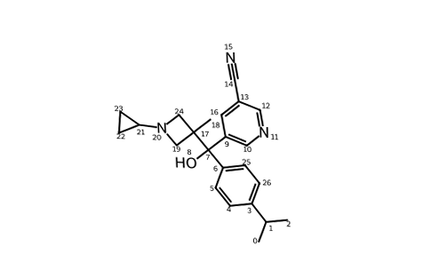 CC(C)c1ccc(C(O)(c2cncc(C#N)c2)C2(C)CN(C3CC3)C2)cc1